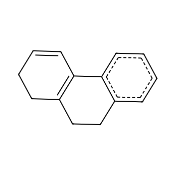 C1=CC2=C(CC1)CCc1ccccc12